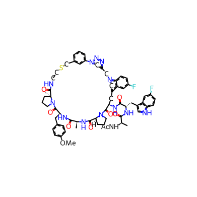 COc1ccc(C[C@@H]2NC(=O)[C@H](C)NC(=O)[C@@H]3CCCN3C(=O)[C@H](NC(=O)[C@H](Cc3c[nH]c4ccc(F)cc34)NC(=O)[C@@H](C)NC(C)=O)Cc3cn(c4ccc(F)cc34)Cc3cn(nn3)-c3cccc(c3)CSCCNC(=O)[C@]3(C)CCCN3C2=O)cc1